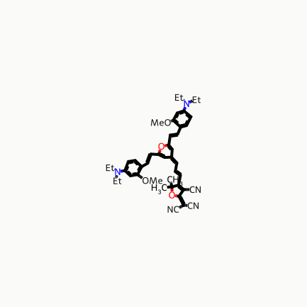 CCN(CC)c1ccc(/C=C/C2=CC(=C/C=C/C3=C(C#N)C(=C(C#N)C#N)OC3(C)C)C=C(/C=C/c3ccc(N(CC)CC)cc3OC)O2)c(OC)c1